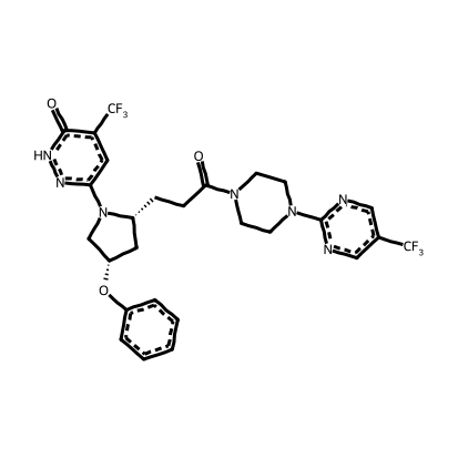 O=C(CC[C@@H]1C[C@H](Oc2ccccc2)CN1c1cc(C(F)(F)F)c(=O)[nH]n1)N1CCN(c2ncc(C(F)(F)F)cn2)CC1